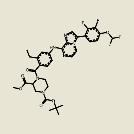 CCc1cc(Nc2nccn3c(-c4ccc(OC(F)F)c(F)c4F)cnc23)ccc1C(=O)N1CCN(C(=O)OC(C)(C)C)CC1C(=O)OC